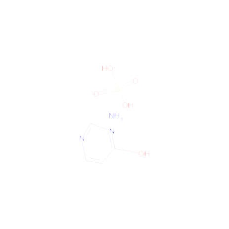 N.O=S(=O)(O)O.Oc1ccncn1